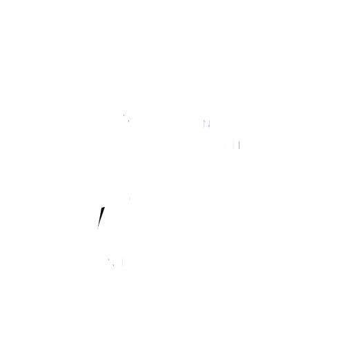 CN(CC1CC1)c1cncc(OC[C@@H]2CCN2)c1